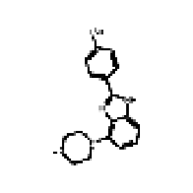 CC(C)(C)c1ccc(-c2nc3c(N4CCNCC4)cccc3[nH]2)cc1